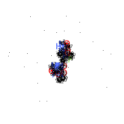 CN[C@@H](C)C(=O)N[C@H](C(=O)N1CCc2ccccc2[C@H]1C(=O)N(Cc1ccc(C(=O)N[C@H]2C[C@@H](C(=O)NC3CCCc4ccccc43)N(C(=O)[C@@H](NC(=O)[C@H](C)NC)C(C)(C)C)C2)cc1)[C@H](C)c1ccccc1F)C(C)(C)C